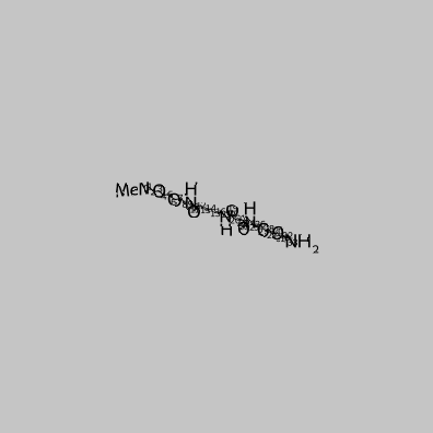 CNCCOCCOCCNC(=O)CCCCCNC(=O)CCC(=O)NCCOCCOCCN